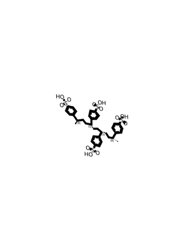 C[C@H](CC[C@@H](CC[C@H](CC[C@@H](C)c1ccc(S(=O)(=O)O)cc1)c1ccc(S(=O)(=O)O)cc1)c1ccc(S(=O)(=O)O)cc1)c1ccc(S(=O)(=O)O)cc1